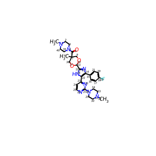 CN1CCN(C(=O)C2(C)COC(c3nc(-c4ccc(F)cc4)c(-c4ccnc(N5CCN(C)CC5)n4)[nH]3)OC2)CC1